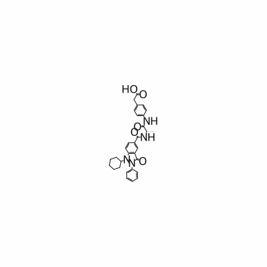 C[C@H](NC(=O)c1ccc2c(c1)c(=O)n(-c1ccccc1)n2C1CCCCC1)C(=O)Nc1ccc(CC(=O)O)cc1